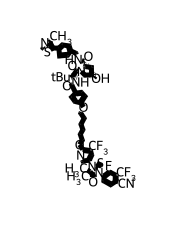 Cc1ncsc1-c1ccc(CNC(=O)[C@@H]2C[C@@H](O)CN2C(=O)[C@@H](NC(=O)c2ccc(OCCCCCCOc3ncc(N4C(=S)N(c5ccc(C#N)c(C(F)(F)F)c5F)C(=O)C4(C)C)cc3C(F)(F)F)cc2)C(C)(C)C)cc1